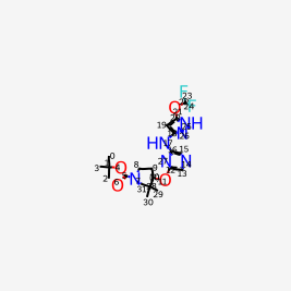 CC(C)(C)OC(=O)N1CC[C@@H](Oc2cncc(Nc3cc(OC(F)F)[nH]n3)n2)C(C)(C)C1